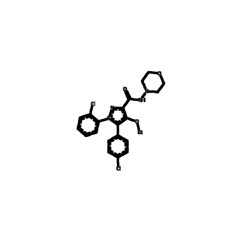 CCOc1c(C(=O)NN2CCOCC2)nn(-c2ccccc2Cl)c1-c1ccc(Cl)cc1